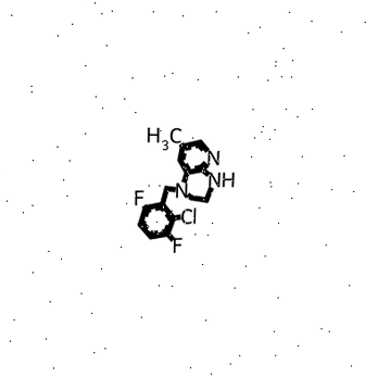 Cc1cnc2c(c1)N(Cc1c(F)ccc(F)c1Cl)CCN2